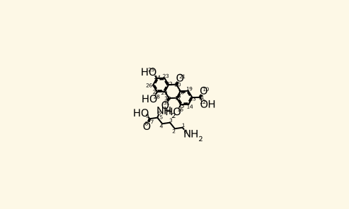 NCCCCC(N)C(=O)O.O=C(O)c1cc(O)c2c(c1)C(=O)c1cc(O)cc(O)c1C2=O